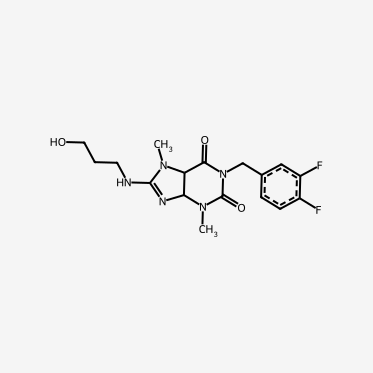 CN1C(=O)N(Cc2ccc(F)c(F)c2)C(=O)C2C1N=C(NCCCO)N2C